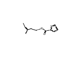 C/C=C(/C)CCOC(=O)c1cccs1